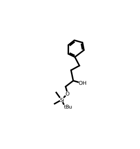 CC(C)(C)[Si](C)(C)OCC(O)CCc1ccccc1